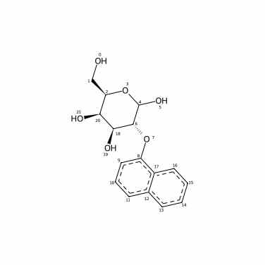 OC[C@H]1OC(O)[C@H](Oc2cccc3ccccc23)[C@@H](O)[C@H]1O